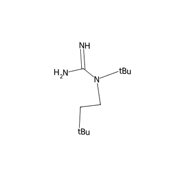 CC(C)(C)CCN(C(=N)N)C(C)(C)C